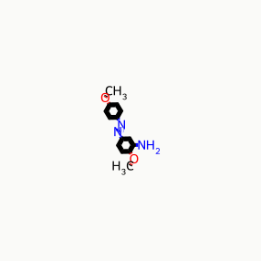 COc1ccc(/N=N/c2ccc(OC)c(N)c2)cc1